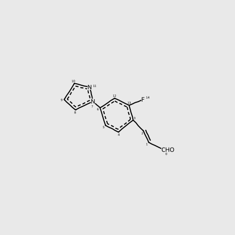 O=CC=Cc1ccc(-n2cccn2)cc1F